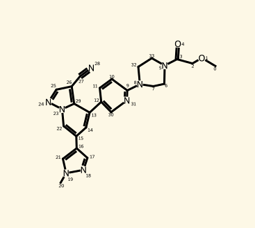 COCC(=O)N1CCN(c2ccc(-c3cc(-c4cnn(C)c4)cn4ncc(C#N)c34)cn2)CC1